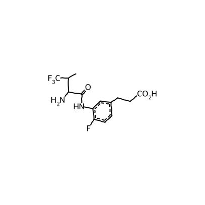 CC(C(N)C(=O)Nc1cc(CCC(=O)O)ccc1F)C(F)(F)F